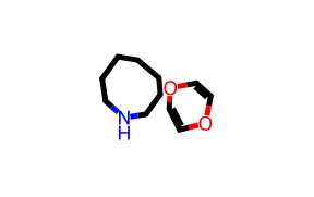 C1=COC=CO1.C1CCCNCCC1